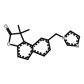 CC1(C)C(=O)Oc2ccc3ccc(Cn4ccnc4)cc3c21